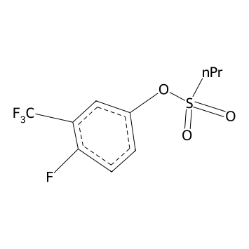 CCCS(=O)(=O)Oc1ccc(F)c(C(F)(F)F)c1